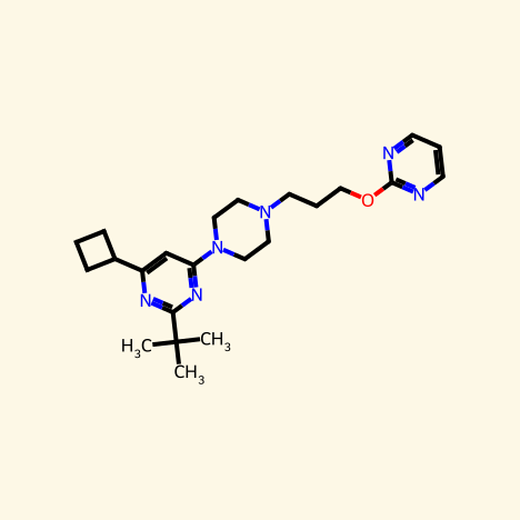 CC(C)(C)c1nc(C2CCC2)cc(N2CCN(CCCOc3ncccn3)CC2)n1